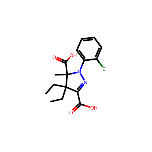 CCC1(CC)C(C(=O)O)=NN(c2ccccc2Cl)C1(C)C(=O)O